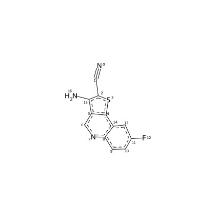 N#Cc1sc2c(cnc3ccc(F)cc32)c1N